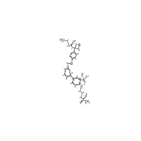 CCOC(=O)CC1(c2ccc(OCc3cccc(-c4ccc(OCCCS(C)(=O)=O)c(C(F)(F)F)c4)c3)cc2)COC1